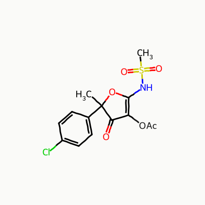 CC(=O)OC1=C(NS(C)(=O)=O)OC(C)(c2ccc(Cl)cc2)C1=O